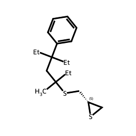 CCC(C)(CC(CC)(CC)c1ccccc1)SC[C@@H]1CS1